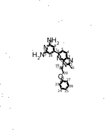 Cc1nc2ccc(-c3cc(N)nc(N)c3)nc2n1[C@@H](C)COc1ccccc1